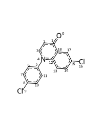 O=c1ccn(-c2ccc(Cl)cc2)c2ccc(Cl)cc12